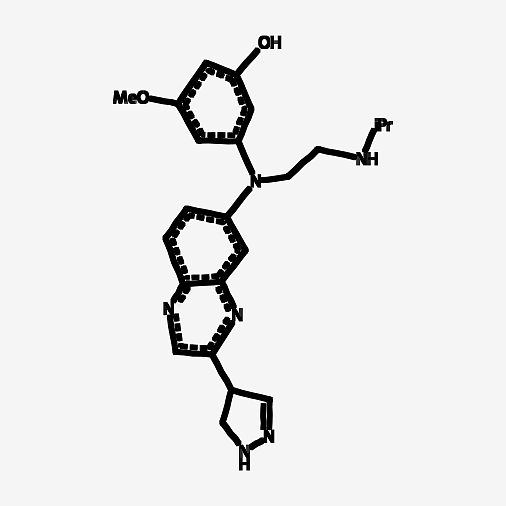 COc1cc(O)cc(N(CCNC(C)C)c2ccc3ncc(C4C=NNC4)nc3c2)c1